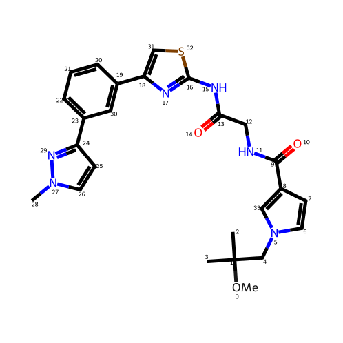 COC(C)(C)Cn1ccc(C(=O)NCC(=O)Nc2nc(-c3cccc(-c4ccn(C)n4)c3)cs2)c1